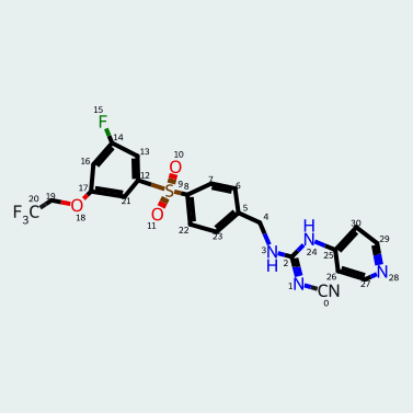 N#CN=C(NCc1ccc(S(=O)(=O)c2cc(F)cc(OCC(F)(F)F)c2)cc1)Nc1ccncc1